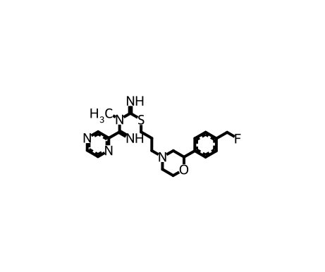 CN(C(=N)SCCCN1CCOC(c2ccc(CF)cc2)C1)C(=N)c1cnccn1